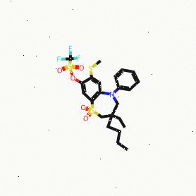 CCCCC1(CC)CN(c2ccccc2)c2cc(SC)c(OS(=O)(=O)C(F)(F)F)cc2S(=O)(=O)C1